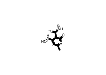 Cc1cc(NO)c(C(=O)[NH][Y])c(=O)o1